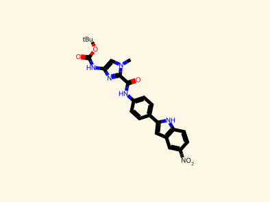 Cn1cc(NC(=O)OC(C)(C)C)nc1C(=O)Nc1ccc(-c2cc3cc([N+](=O)[O-])ccc3[nH]2)cc1